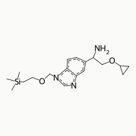 C[Si](C)(C)CCOCn1cnc2cc(C(N)COC3CC3)ccc21